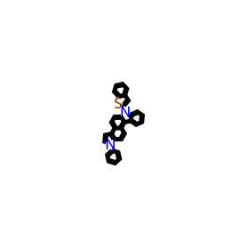 c1ccc(-n2ccc3c4ccc5c(c4ccc32)c2ccccc2n5-c2cc3ccccc3s2)cc1